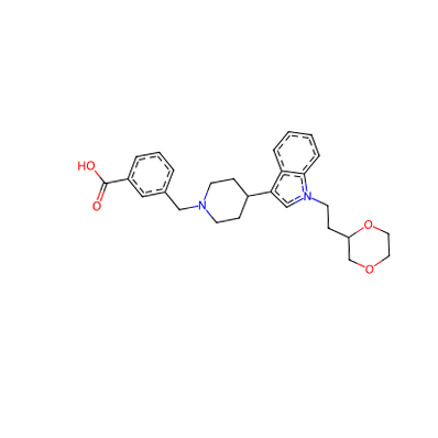 O=C(O)c1cccc(CN2CCC(c3cn(CCC4COCCO4)c4ccccc34)CC2)c1